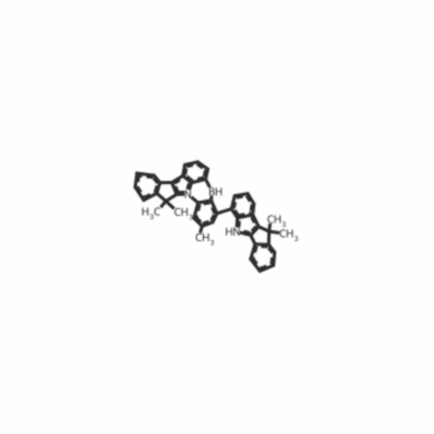 Cc1cc(-c2cccc3c4c([nH]c23)-c2ccccc2C4(C)C)c2c(c1)-n1c3c(c4cccc(c41)B2)-c1ccccc1C3(C)C